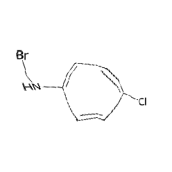 Clc1ccc(NBr)cc1